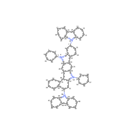 c1ccc(-n2c3cc(-n4c5ccccc5c5ccccc54)ccc3c3cc4c(cc32)c2c3ccccc3c(-n3c5ccccc5c5ccccc53)cc2n4-c2ccccc2)cc1